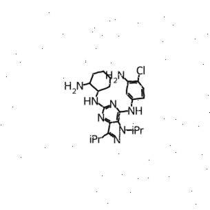 CC(C)c1nn(C(C)C)c2c(Nc3ccc(Cl)c(N)c3)nc(NC3CCCCC3N)nc12